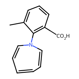 Cc1cccc(C(=O)O)c1N1C=CC=CC=C1